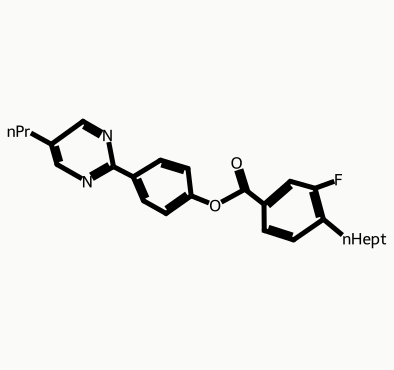 CCCCCCCc1ccc(C(=O)Oc2ccc(-c3ncc(CCC)cn3)cc2)cc1F